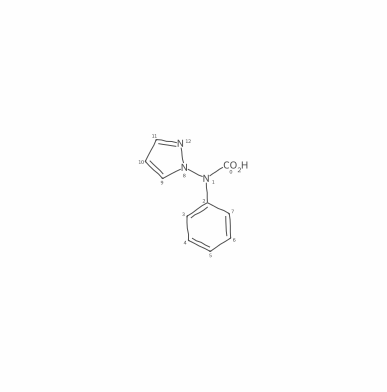 O=C(O)N(c1ccccc1)n1cccn1